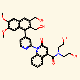 COc1cc2cc(CO)c(CO)c(-c3ccnc(-n4c(=O)cc(C(=O)N(CCO)CCO)c5ccccc54)c3)c2cc1OC